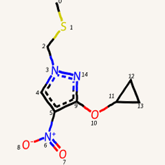 CSCn1cc([N+](=O)[O-])c(OC2CC2)n1